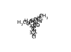 CCOC(=O)c1cn(-c2ccc(Cl)cn2)nc1N(C(=O)C1CCC(C)CC1)C(C)C